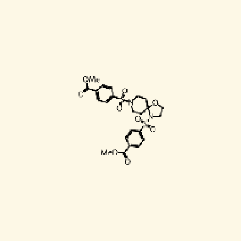 COC(=O)c1ccc(S(=O)(=O)N2CCC3(CC2)OCCN3S(=O)(=O)c2ccc(C(=O)OC)cc2)cc1